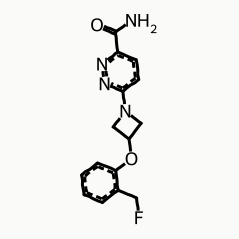 NC(=O)c1ccc(N2CC(Oc3ccccc3CF)C2)nn1